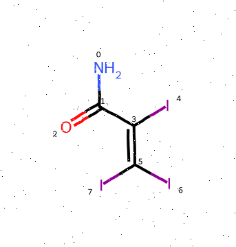 NC(=O)C(I)=C(I)I